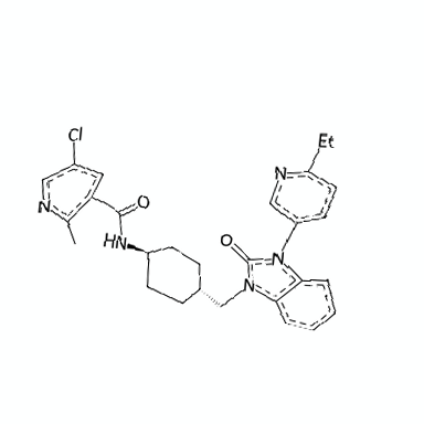 CCc1ccc(-n2c(=O)n(C[C@H]3CC[C@H](NC(=O)c4cc(Cl)cnc4C)CC3)c3ccccc32)cn1